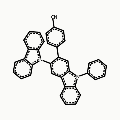 N#Cc1ccc(-c2cc3c(cc2-n2c4ccccc4c4ccccc42)c2ccccc2n3-c2ccccc2)cc1